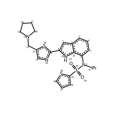 CC(C)N(c1cccc2cc(-c3ncc(CN4CCCC4)s3)[nH]c12)S(=O)(=O)c1cccs1